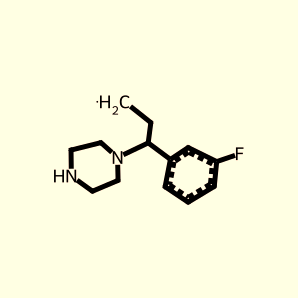 [CH2]CC(c1cccc(F)c1)N1CCNCC1